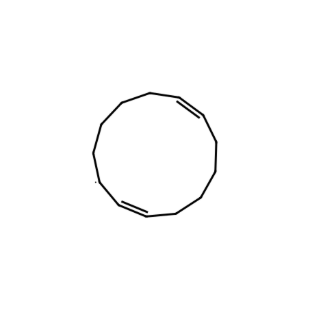 [CH]1C=CCCCCC=CCCCC1